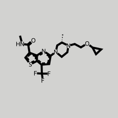 CNC(=O)c1csc2c(C(F)(F)F)cc(N3CCN(CCOC4CC4)[C@@H](C)C3)nc12